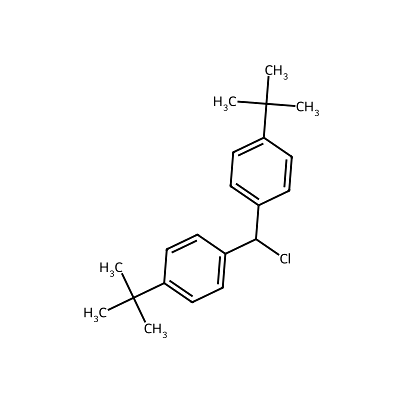 CC(C)(C)c1ccc(C(Cl)c2ccc(C(C)(C)C)cc2)cc1